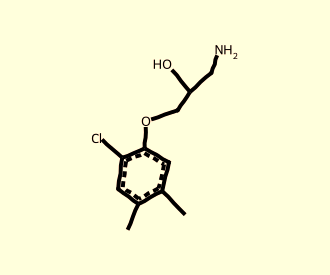 Cc1cc(Cl)c(OCC(O)CN)cc1C